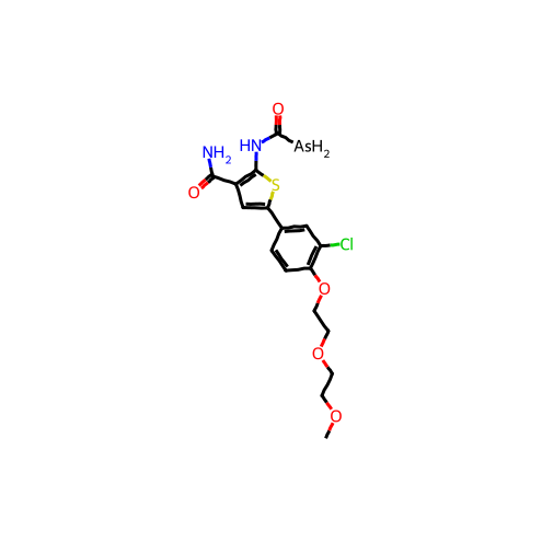 COCCOCCOc1ccc(-c2cc(C(N)=O)c(NC(=O)[AsH2])s2)cc1Cl